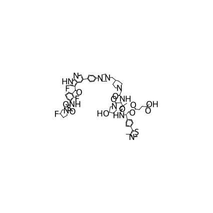 Cc1ncsc1-c1ccc([C@H](COC(=O)CCC(=O)O)NC(=O)[C@@H]2C[C@@H](O)CN2C(=O)[C@@H](NC(=O)CN2CCC(CN3CCN(c4ccc(-c5cnc6[nH]cc(C(=O)c7c(F)ccc(NS(=O)(=O)N8CC[C@@H](F)C8)c7F)c6c5)cc4)CC3)CC2)C(C)(C)C)cc1